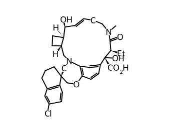 CC[C@@H]1C(=O)N(C)CC/C=C/[C@H](O)[C@@H]2CC[C@H]2CN2C[C@@]3(CCCc4cc(Cl)ccc43)COc3ccc(cc32)[C@]1(O)C(=O)O